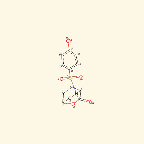 O=C1OC2CCC1N(S(=O)(=O)c1ccc(O)cc1)C2